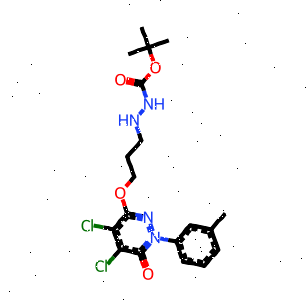 Cc1cccc(-n2nc(OCCCNNC(=O)OC(C)(C)C)c(Cl)c(Cl)c2=O)c1